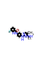 CCNc1nc(Nc2ccc(NC(=O)c3cccc(F)c3)cc2)ncc1C